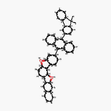 CC1(C)c2ccccc2-c2cc(-c3c4ccccc4c(-c4ccc5c(c4)oc4ccc6c7cc8ccccc8cc7oc6c45)c4ccccc34)ccc21